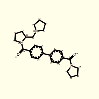 O=C(c1ccc(-c2ccc(C(=O)N3CCCC3CN3CCCC3)cc2)cc1)N1CCCC1